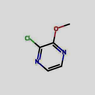 COc1nccnc1Cl